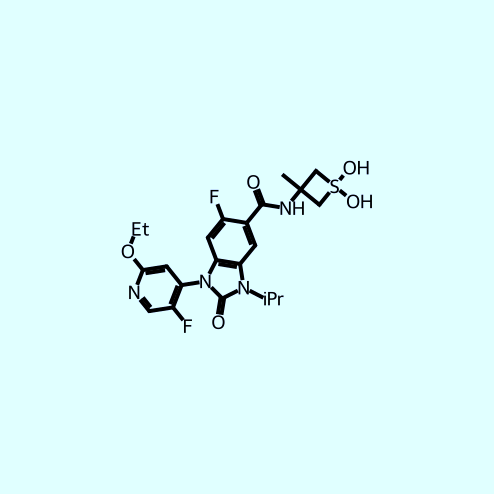 CCOc1cc(-n2c(=O)n(C(C)C)c3cc(C(=O)NC4(C)CS(O)(O)C4)c(F)cc32)c(F)cn1